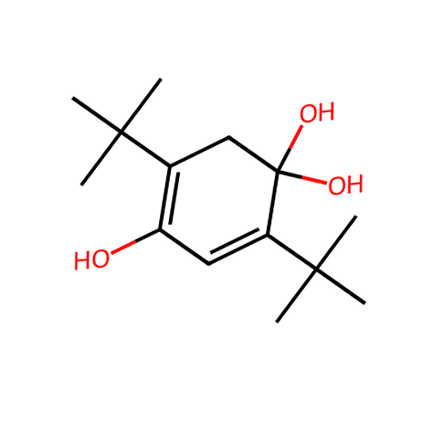 CC(C)(C)C1=CC(O)=C(C(C)(C)C)CC1(O)O